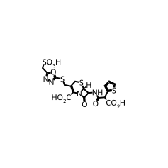 O=C(O)C1=C(CSc2nnc(CS(=O)(=O)O)o2)CS[C@@H]2C(NC(=O)C(C(=O)O)c3cccs3)C(=O)N12